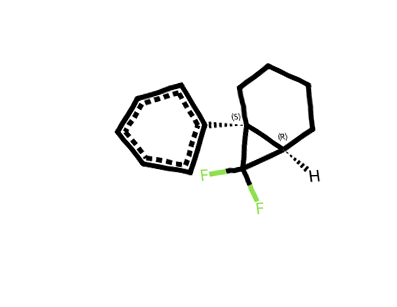 FC1(F)[C@@H]2CCCC[C@@]21c1ccccc1